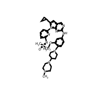 COc1cc(Nc2ncc3cc(C4CC4)n(-c4cccc(N=S(C)(C)=O)n4)c3n2)ccc1N1CCC(N2CCN(C)CC2)CC1